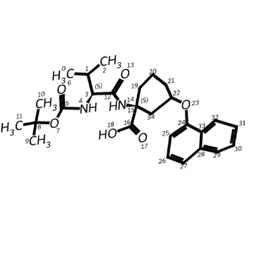 CC(C)[C@H](NC(=O)OC(C)(C)C)C(=O)N[C@@]1(C(=O)O)CCCC(Oc2cccc3ccccc23)C1